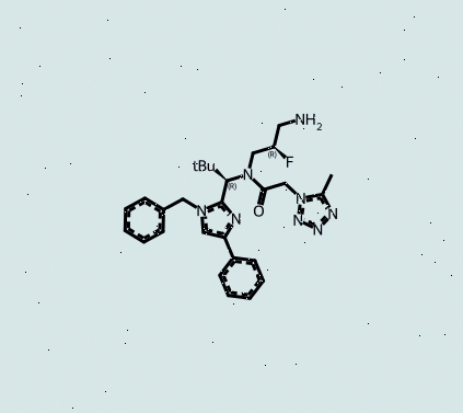 Cc1nnnn1CC(=O)N(C[C@H](F)CN)[C@@H](c1nc(-c2ccccc2)cn1Cc1ccccc1)C(C)(C)C